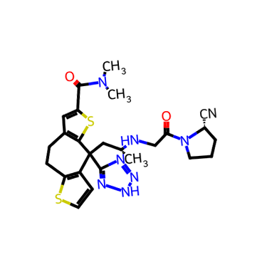 C[C@H](CC1(c2nn[nH]n2)c2ccsc2CCc2cc(C(=O)N(C)C)sc21)NCC(=O)N1CCC[C@H]1C#N